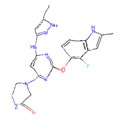 Cc1cc(Nc2cc(N3CCNC(=O)C3)nc(Oc3ccc4[nH]c(C)cc4c3F)n2)n[nH]1